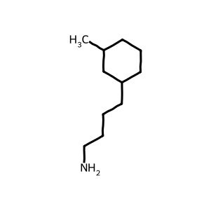 CC1CCCC(CCCCN)C1